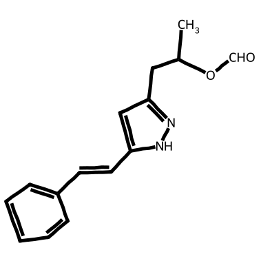 CC(Cc1cc(C=Cc2ccccc2)[nH]n1)OC=O